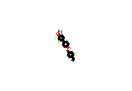 C=Cc1ccc(COC2CCC(c3ccc(OCC)c(F)c3F)CC2)cc1F